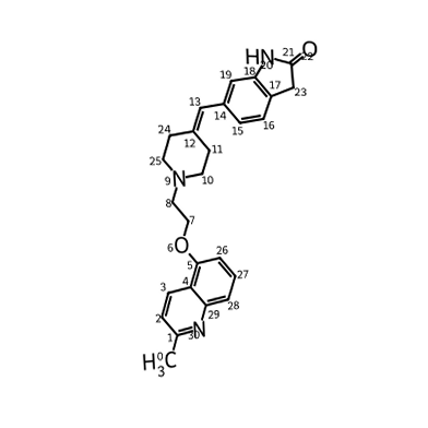 Cc1ccc2c(OCCN3CCC(=Cc4ccc5c(c4)NC(=O)C5)CC3)cccc2n1